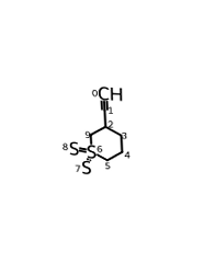 C#CC1CCCS(=S)(=S)C1